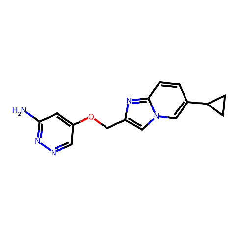 Nc1cc(OCc2cn3cc(C4CC4)ccc3n2)cnn1